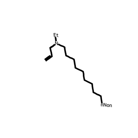 C=CCN(CC)CCCCCCCCCCCCCCCCCC